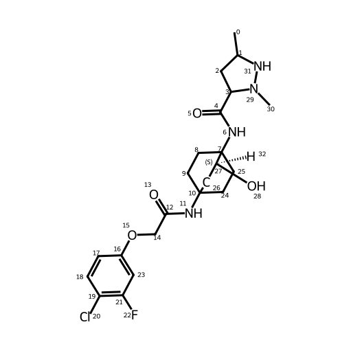 CC1CC(C(=O)NC23CCC(NC(=O)COc4ccc(Cl)c(F)c4)(CC2)C[C@@H]3O)N(C)N1